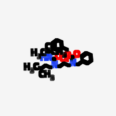 CC(C)CCN(C[C@@H](O)CN(Cc1ccccc1)C(=O)OCc1ccccc1)C(=O)NC(C)(C)C